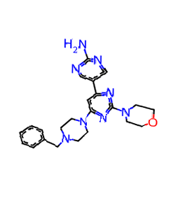 Nc1ncc(-c2cc(N3CCN(Cc4ccccc4)CC3)nc(N3CCOCC3)n2)cn1